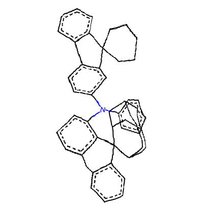 c1ccc(N(c2ccc3c(c2)C2(CCCCC2)c2ccccc2-3)c2cccc3c2C2(c4ccccc4-3)C3CCC4CC(C3)CC2C4)cc1